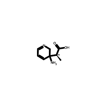 C[C@H](C(=O)O)C1(N)C=CC=NC1